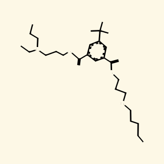 CCCCCNCCCNC(=O)c1cc(C(=O)NCCCN(CC)CCC)cc(C(C)(C)C)c1